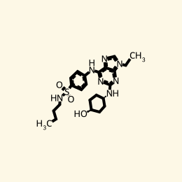 CCCCNS(=O)(=O)c1ccc(Nc2nc(N[C@H]3CC[C@H](O)CC3)nc3c2ncn3CC)cc1